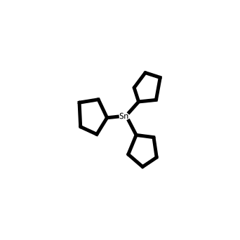 C1CC[CH]([Sn]([CH]2CCCC2)[CH]2CCCC2)C1